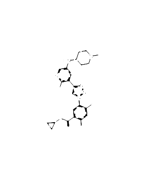 Cc1cc(F)c(C(=O)NC2CC2)cc1-n1cc(-c2cc(NC3CCN(C)CC3)cnc2F)nn1